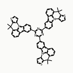 CC1(C)c2sccc2-n2c3ccc(-c4nc(-c5ccc6c(c5)c5cccc7c5n6-c5ccsc5C7(C)C)nc(-c5ccc6c(c5)c5cccc7c5n6-c5ccsc5C7(C)C)n4)cc3c3cccc1c32